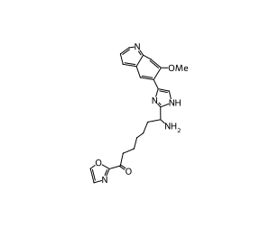 COc1cc2ncccc2cc1-c1c[nH]c(C(N)CCCCCC(=O)c2ncco2)n1